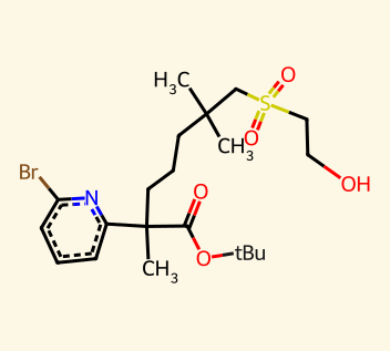 CC(C)(CCCC(C)(C(=O)OC(C)(C)C)c1cccc(Br)n1)CS(=O)(=O)CCO